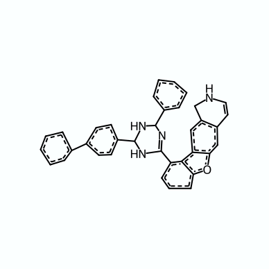 C1=Cc2cc3oc4cccc(C5=NC(c6ccccc6)NC(c6ccc(-c7ccccc7)cc6)N5)c4c3cc2CN1